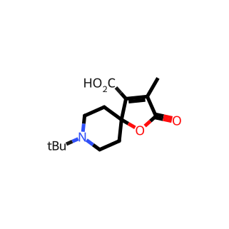 CC1=C(C(=O)O)C2(CCN(C(C)(C)C)CC2)OC1=O